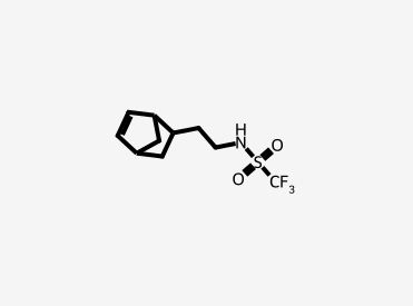 O=S(=O)(NCCC1CC2C=CC1C2)C(F)(F)F